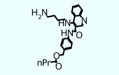 CCCC(=O)OCc1ccc(NC(=O)c2cnc3ccccc3c2NCCCCN)cc1